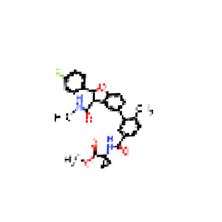 CNC(=O)C1c2cc(-c3cc(C(=O)NC4(C(=O)OC)CC4)ccc3C)ccc2OC1c1ccc(F)cc1